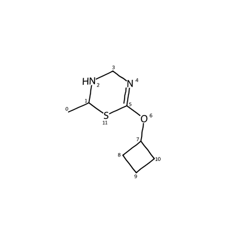 CC1NCN=C(OC2CCC2)S1